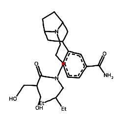 CCC(CC)CN(CCCN1C2CCC1CC(c1cccc(C(N)=O)c1)C2)C(=O)C(CO)CO